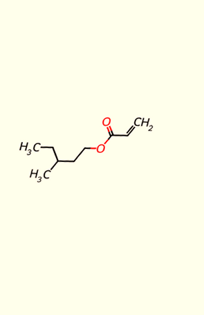 C=CC(=O)OCCC(C)CC